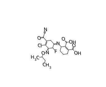 CCC(C)ON=C1C(Cl)=C(C(=O)C#N)CC(=NC2CCCC(C(=O)O)=C2C(=O)O)C1F